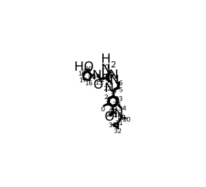 Cc1cc(-c2ccn3nc(N)c(C(=O)N[C@@H]4CCC[C@H]4O)c3n2)cc2c1C(=O)N([C@@H](C)C1CC1)C2